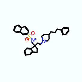 CN(CC1(CCN2CCC(CCCc3ccccc3)CC2)CCc2ccccc21)S(=O)(=O)c1ccc2ccccc2c1